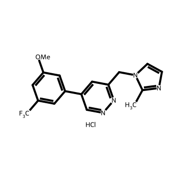 COc1cc(-c2cnnc(Cn3ccnc3C)c2)cc(C(F)(F)F)c1.Cl